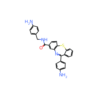 Nc1ccc(CNC(=O)c2ccc3c(c2)N=C(c2ccc(N)cc2)c2ccccc2S3)cc1